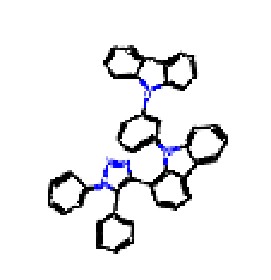 c1ccc(-c2c(-c3cccc4c5ccccc5n(-c5cccc(-n6c7ccccc7c7ccccc76)c5)c34)nnn2-c2ccccc2)cc1